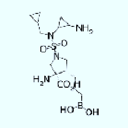 NC1CC1N(CC1CC1)S(=O)(=O)N1C[C@H](CCCB(O)O)[C@](N)(C(=O)O)C1